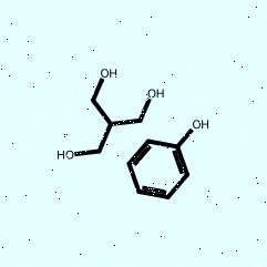 OCC(CO)CO.Oc1ccccc1